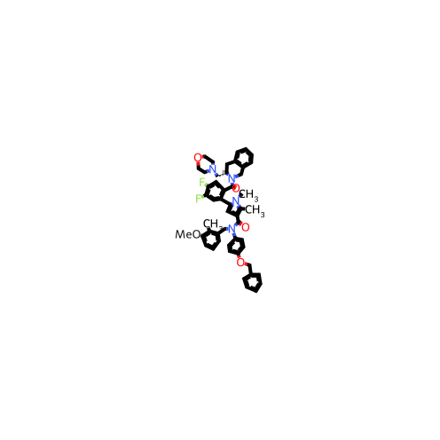 COc1cccc(CN(C(=O)c2cc(-c3cc(F)c(F)cc3C(=O)N3Cc4ccccc4C[C@H]3CN3CCOCC3)n(C)c2C)c2ccc(OCc3ccccc3)cc2)c1C